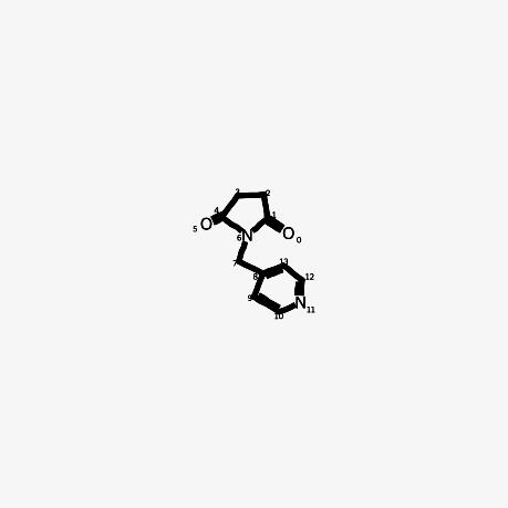 O=C1CCC(=O)N1Cc1ccncc1